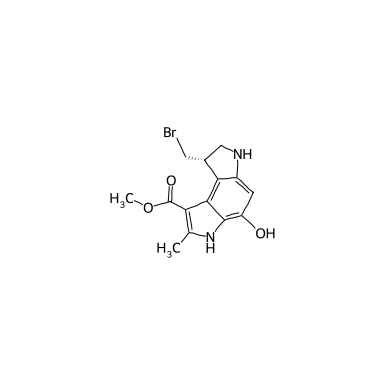 COC(=O)c1c(C)[nH]c2c(O)cc3c(c12)[C@H](CBr)CN3